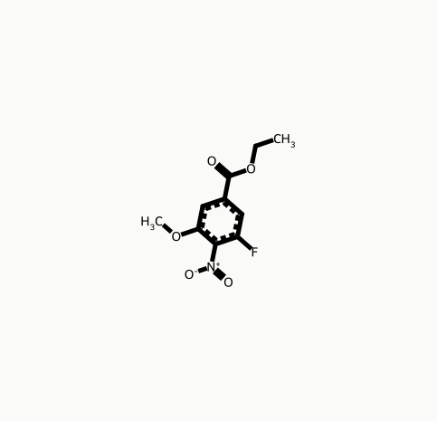 CCOC(=O)c1cc(F)c([N+](=O)[O-])c(OC)c1